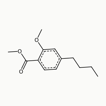 CCCCc1ccc(C(=O)OC)c(OC)c1